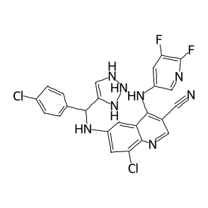 N#Cc1cnc2c(Cl)cc(NC(C3=CNNN3)c3ccc(Cl)cc3)cc2c1Nc1cnc(F)c(F)c1